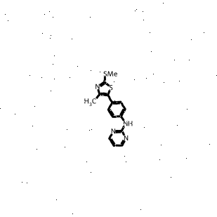 CSc1nc(C)c(-c2ccc(Nc3ncccn3)cc2)s1